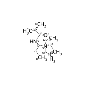 C=C(C)C(=O)NC(CC)[N+](CC)(CC)CC